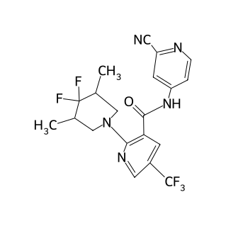 CC1CN(c2ncc(C(F)(F)F)cc2C(=O)Nc2ccnc(C#N)c2)CC(C)C1(F)F